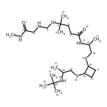 CNC(=O)CNCOC(C)(C)CCC(=O)NC(C)CSC1CCC1SCC(C)NC(C)(C)C